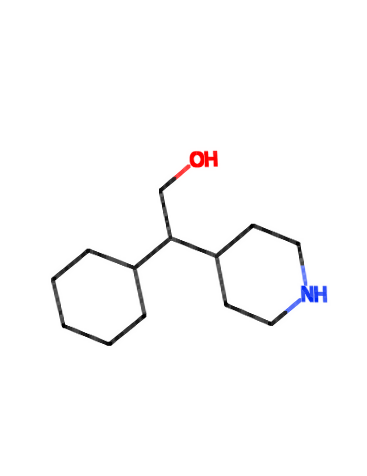 OCC(C1CCCCC1)C1CCNCC1